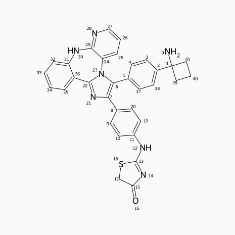 NC1(c2ccc(-c3c(-c4ccc(NC5=NC(=O)CS5)cc4)nc4n3-c3cccnc3Nc3ccccc3-4)cc2)CCC1